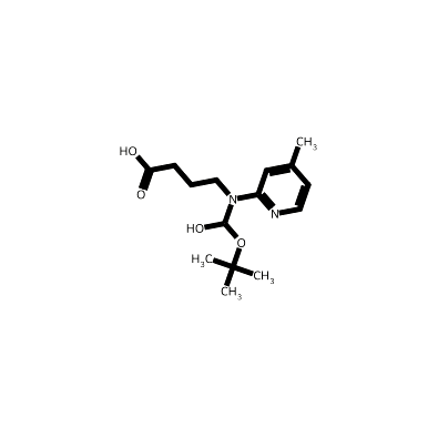 Cc1ccnc(N(CCCC(=O)O)C(O)OC(C)(C)C)c1